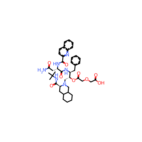 CC(C)(C)NC(=O)[C@@H]1CC2CCCCC2CN1C[C@@H](OC(=O)COCC(=O)O)[C@H](Cc1ccccc1)NC(=O)[C@H](CC(N)=O)NC(=O)c1ccc2ccccc2n1